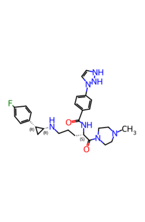 CN1CCN(C(=O)[C@H](CCCN[C@@H]2C[C@@H]2c2ccc(F)cc2)NC(=O)c2ccc(N3C=CNN3)cc2)CC1